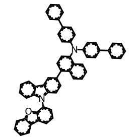 c1ccc(-c2ccc(N(c3ccc(-c4ccccc4)cc3)c3ccc(-c4ccc5c(c4)c4ccccc4n5-c4cccc5c4oc4ccccc45)c4ccccc34)cc2)cc1